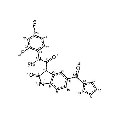 CCN(C(=O)C1C(=O)Nc2ccc(C(=O)c3cccs3)cc21)c1ccc(F)cc1F